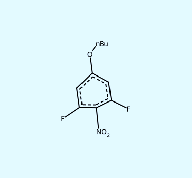 CCCCOc1cc(F)c([N+](=O)[O-])c(F)c1